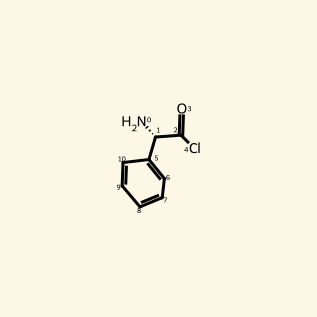 N[C@H](C(=O)Cl)c1ccccc1